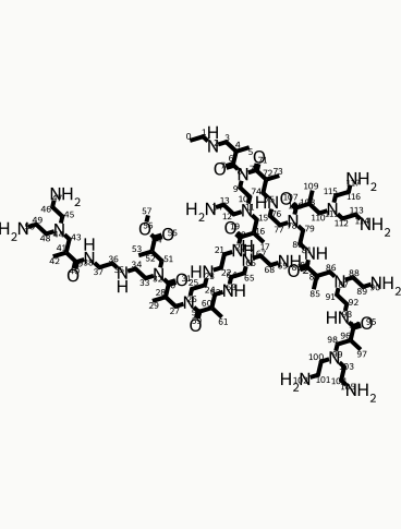 CCNCC(C)C(=O)N(CCN(CCN)CC(C)C(=O)NCCNCCN(CC(C)C(=O)N(CCNCCNC(=O)C(C)CN(CCN)CCN)CC(C)C(=O)OC)C(=O)C(C)CNCCNCCN)C(=O)C(C)CNCCN(CCNC(=O)C(C)CN(CCN)CCNC(=O)C(C)CN(CCN)CCN)C(=O)C(C)CN(CCN)CCN